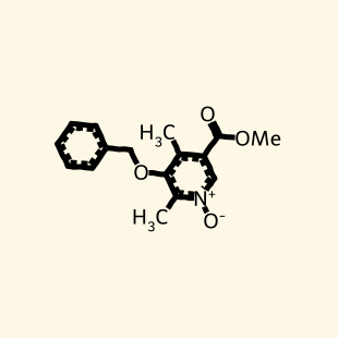 COC(=O)c1c[n+]([O-])c(C)c(OCc2ccccc2)c1C